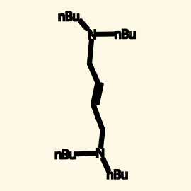 CCCCN(C/C=C/CN(CCCC)CCCC)CCCC